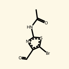 CC(=O)Nc1nc(C=O)c(Br)s1